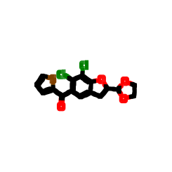 O=C(c1cccs1)c1cc2c(c(Cl)c1Cl)OC(C1OCCO1)C2